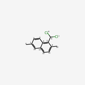 Cc1ccc2c(C(Cl)Cl)c(C)ccc2c1